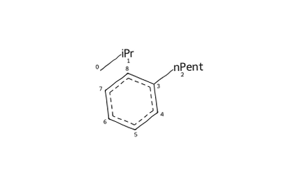 CC(C)C.CCCCCc1ccccc1